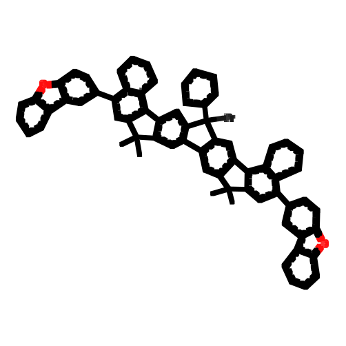 CC(C)C1(c2ccccc2)c2cc3c(cc2-c2cc4c(cc21)-c1c(cc(-c2ccc5oc6ccccc6c5c2)c2ccccc12)C4(C)C)C(C)(C)c1cc(-c2ccc4oc5ccccc5c4c2)c2ccccc2c1-3